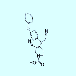 N#CCN(C1=C(C#N)CN(C(=O)O)CC1)c1ccc(Oc2ccccc2)cc1